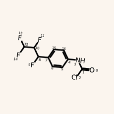 O=C(Cl)Nc1ccc(C(F)C(F)C(F)F)cc1